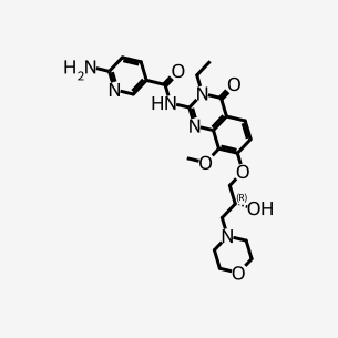 CCn1c(NC(=O)c2ccc(N)nc2)nc2c(OC)c(OC[C@H](O)CN3CCOCC3)ccc2c1=O